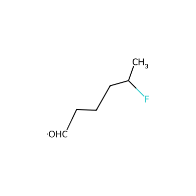 CC(F)CCC[C]=O